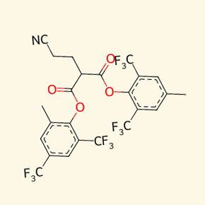 Cc1cc(C(F)(F)F)c(OC(=O)C(CCC#N)C(=O)Oc2c(C)cc(C(F)(F)F)cc2C(F)(F)F)c(C(F)(F)F)c1